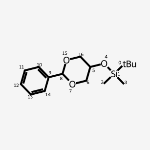 CC(C)(C)[Si](C)(C)OC1COC(c2ccccc2)OC1